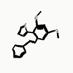 COc1cc(C=Cc2ccccc2)c(-c2cccs2)c(OC)c1